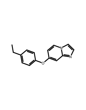 CCc1ccc(Oc2ccn3ccnc3c2)cc1